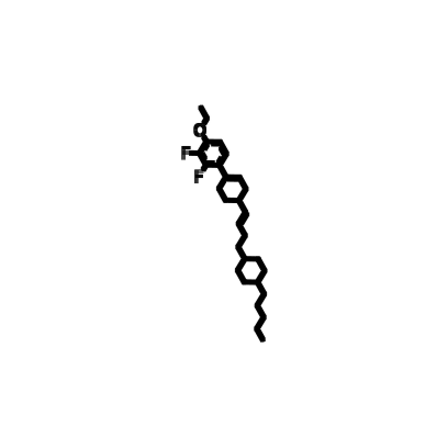 CCCCCC1CCC(CC/C=C/C2CC=C(c3ccc(OCC)c(F)c3F)CC2)CC1